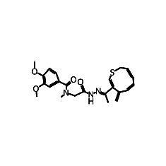 C=C1/C=C\C=C/CS/C=C1/C(C)=N/NC(=O)CN(C)C(=O)c1ccc(OC)c(OC)c1